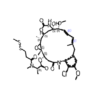 COc1cc2cc(c1Cl)N(C)C(=O)C[C@H](OC(=O)[C@@H](C)N(C)C(=O)CCSSC)[C@]1(C)OC1[C@H](C)[C@@H]1C[C@@](O)(NC(=O)O1)[C@H](OC)/C=C/C=C(\C)C2